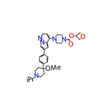 COC1(c2ccc(-c3cc4c(N5CCN(C(=O)OC6COC6)CC5)ccnn4c3)cc2)CCN(C(C)C)CC1